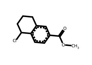 COC(=O)c1ccc2c(c1)CCCC2Cl